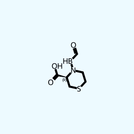 O=CBN1CCSC[C@H]1C(=O)O